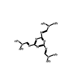 CCCN(C=Nc1nc(N=CN(CCC)CCC)nc(N=CN(CCC)CCC)n1)CCC